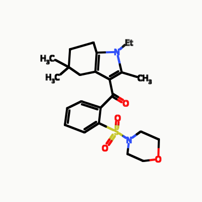 CCn1c(C)c(C(=O)c2ccccc2S(=O)(=O)N2CCOCC2)c2c1CCC(C)(C)C2